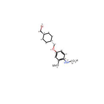 COc1cc(OC[C@H]2CC[C@H](CBr)CC2)ccc1NC(=O)O